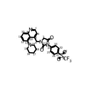 O=C1CN(Cc2ccnc3cccc(N4CCCCC4)c23)C(=O)N1c1ccc(S(=O)(=O)C(F)(F)F)cc1